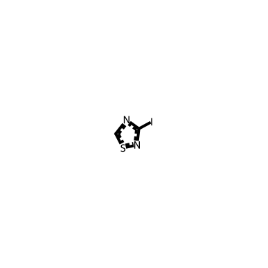 Ic1ncsn1